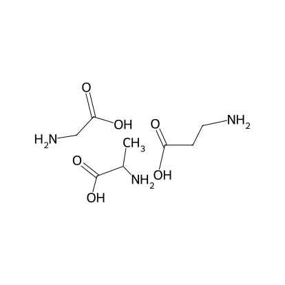 CC(N)C(=O)O.NCC(=O)O.NCCC(=O)O